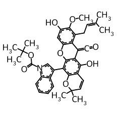 COc1c(O)cc2c(c1CC=C(C)C)C(=C=O)c1c(O)c3c(c(-c4cn(C(=O)OC(C)(C)C)c5ccccc45)c1O2)OC(C)(C)C=C3